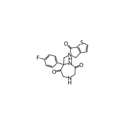 O=C1CNCC(=O)C(CN2Cc3ccsc3C2=O)(c2ccc(F)cc2)N1